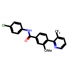 COc1cc(C(=O)Nc2ccc(Cl)cc2)ccc1-c1ncccc1C(F)(F)F